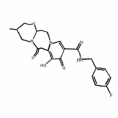 CC1CSC2Cn3cc(C(=O)NCc4ccc(F)cc4)c(=O)c(O)c3C(=O)N2C1